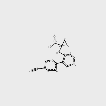 N#Cc1ccc(-c2cnccc2SC2(C(=O)O)CC2)cc1